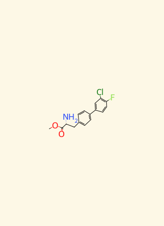 COC(=O)[C@H](N)Cc1ccc(-c2ccc(F)c(Cl)c2)cc1